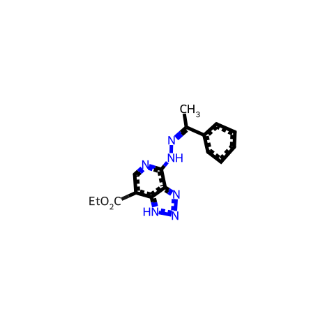 CCOC(=O)c1cnc(NN=C(C)c2ccccc2)c2nn[nH]c12